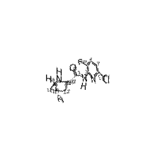 O=C(Nc1nc(Cl)ccc1F)[C@@H]1C[C@H]2C[C@H]2N1